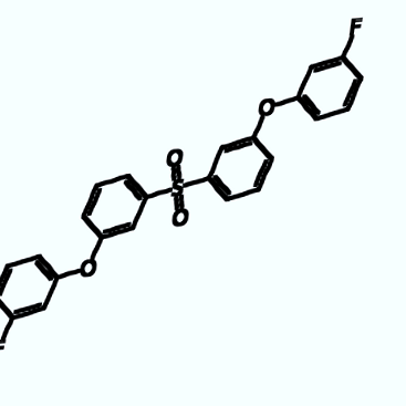 O=S(=O)(c1cccc(Oc2cccc(F)c2)c1)c1cccc(Oc2cccc(F)c2)c1